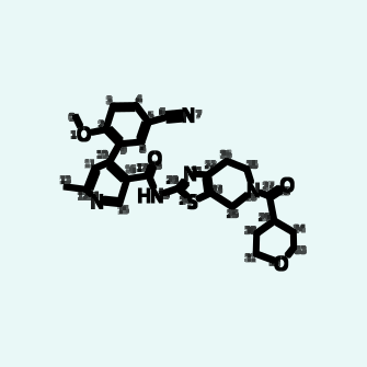 COc1ccc(C#N)cc1-c1cc(C)ncc1C(=O)Nc1nc2c(s1)CN(C(=O)C1CCOCC1)CC2